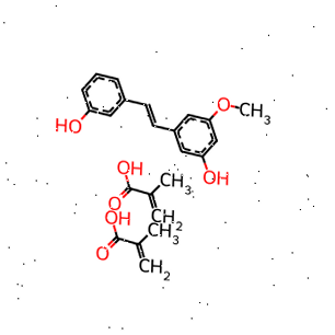 C=C(C)C(=O)O.C=C(C)C(=O)O.COc1cc(O)cc(C=Cc2cccc(O)c2)c1